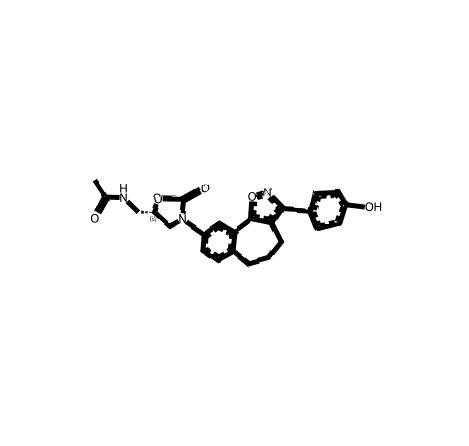 CC(=O)NC[C@H]1CN(c2ccc3c(c2)-c2onc(-c4ccc(O)cc4)c2CCC3)C(=O)O1